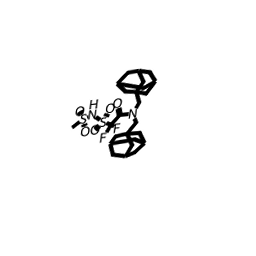 CS(=O)(=O)NS(=O)(=O)C(F)(F)C(=O)N(CC12CC3CC(CC(C3)C1)C2)CC12CC3CC(CC(C3)C1)C2